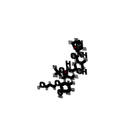 COCCCOc1cc(C[C@@H](C[C@H](NC(=O)OC(C)(C)C)[C@@H](O)C[C@H](C(=O)NC2CN3CCC2CC3)C(C)C)C(C)C)ccc1OC